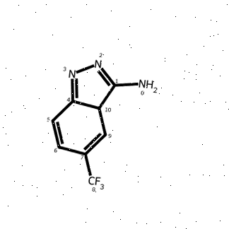 NC1=NN=C2C=CC(C(F)(F)F)=CC12